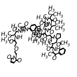 CCC(C)C(C(CC(=O)N1CCCC1C(OC)C(C)C(=O)NC(C)C(=O)c1ccccc1)OC)N(C)C(=O)C(NC(=O)C(C(C)C)N(C)C(=O)OCc1ccc(NC(=O)[C@H](C)NC(=O)C(NC(=O)CCOCCN2C(=O)C=CC2=O)C(C)C)cc1S(=O)(=O)O)C(C)C